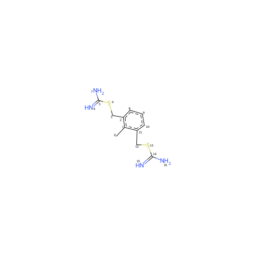 Cc1c(CSC(=N)N)cccc1CSC(=N)N